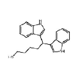 OCCCCC(c1c[nH]c2ccccc12)c1c[nH]c2ccccc12